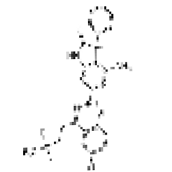 CC1(c2ccccc2)C(=O)Nc2nc(NN=C(CCC(F)(F)C(F)(F)F)c3cc(Cl)ccc3Br)nc(N)c21